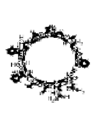 C=C(N)C[C@@H]1NC(=C)[C@H](C)N(C)C(=O)[C@H](Cc2ccccc2)NC(=O)CSC[C@@H](C(=O)NCC(N)=O)NC(=O)[C@H](CCCNC(=N)N)NC(=O)[C@H](CCCC)N(C)C(=O)[C@H](CCCC)N(C)C(=O)[C@H](Cc2c[nH]c3ccccc23)NC(=O)[C@H](CO)NC(=O)[C@H](Cc2c[nH]c3ccccc23)NC(=O)[C@@H]2C[C@@H](O)CN2C(=O)[C@H](CC(C)C)NC(=O)[C@H](Cc2cnc[nH]2)NC(=O)[C@@H]2CCCN2C1=O